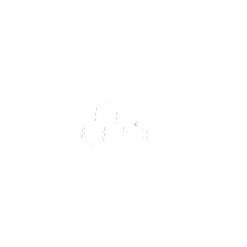 CCNC(=S)NC1CCCc2ccccc21